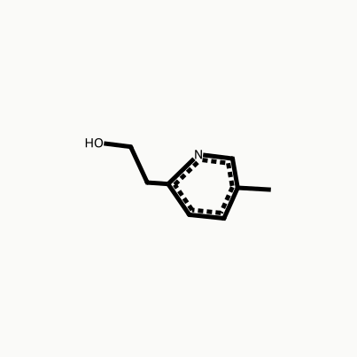 Cc1ccc(CCO)nc1